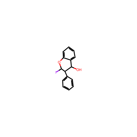 OC1c2ccccc2OC(I)C1c1ccccc1